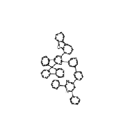 c1ccc(-c2cc(-c3cccc(-c4cccc(-c5cc6c(cc5-c5cccc7c5oc5ccccc57)-c5ccccc5C65c6ccccc6-c6ccccc65)c4)c3)nc(-c3ccccc3)n2)cc1